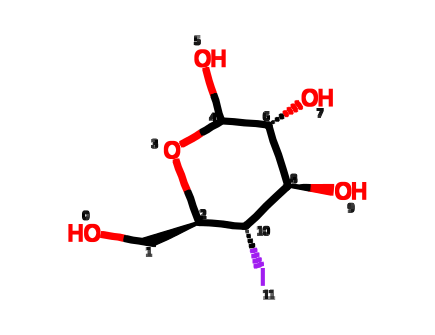 OC[C@H]1OC(O)[C@H](O)[C@@H](O)[C@@H]1I